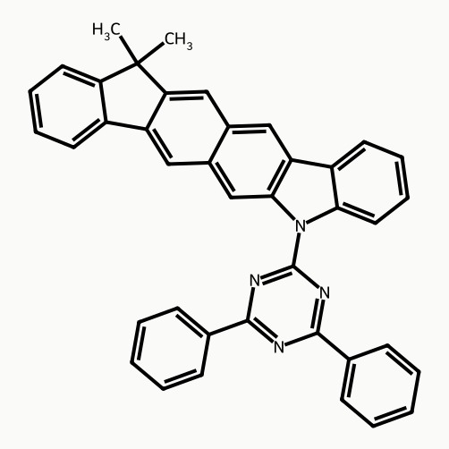 CC1(C)c2ccccc2-c2cc3cc4c(cc3cc21)c1ccccc1n4-c1nc(-c2ccccc2)nc(-c2ccccc2)n1